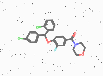 O=C(c1ccc(OC(c2ccc(Cl)cc2)c2ccccc2Cl)c(F)c1)N1CCOCC1